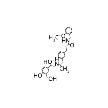 CCOc1ccccc1CNC(=O)CCc1cccc(C[C@@H](C)NC[C@@H](O)c2ccc(O)c(CO)c2)c1